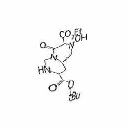 CCOC(=O)C1C(=O)N2CNC(C(=O)OC(C)(C)C)CC2=CN1O